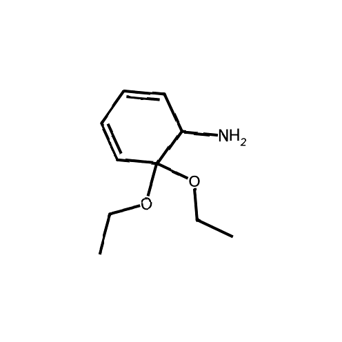 CCOC1(OCC)C=CC=CC1N